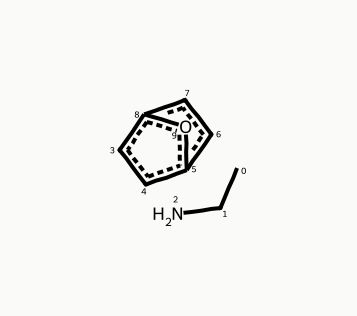 CCN.c1cc2ccc1o2